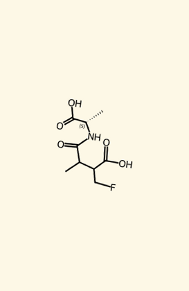 CC(C(=O)N[C@@H](C)C(=O)O)C(CF)C(=O)O